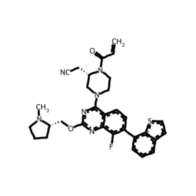 C=CC(=O)N1CCN(c2nc(OC[C@@H]3CCCN3C)nc3c(F)c(-c4cccc5ccsc45)ccc23)C[C@@H]1CC#N